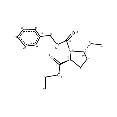 CCOC(=O)[C@@H]1CC[C@@H](CC)N1C(=O)OCc1ccccc1